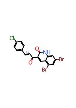 O=C(/C=C/c1ccc(Cl)cc1)c1cc2c(Br)cc(Br)cc2[nH]c1=O